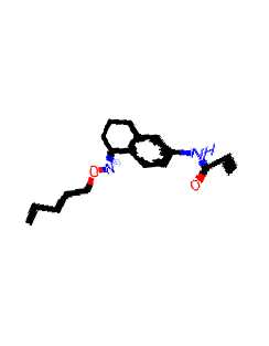 C=CC(=O)Nc1ccc2c(c1)CCC/C2=N\OCCCCC